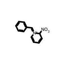 O=[N+]([O-])C1C=CC=C[N+]1=Cc1ccccc1